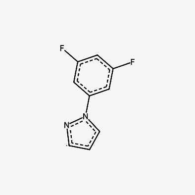 Fc1cc(F)cc(-n2cc[c]n2)c1